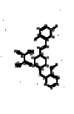 COc1ncccc1CN1CCC(C=Cc2cc(C)ccc2C)CC1.O=C(O)C(=O)O